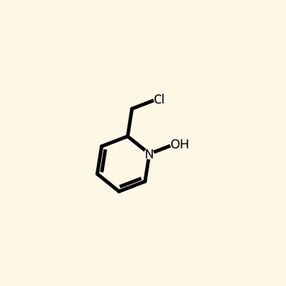 ON1C=CC=CC1CCl